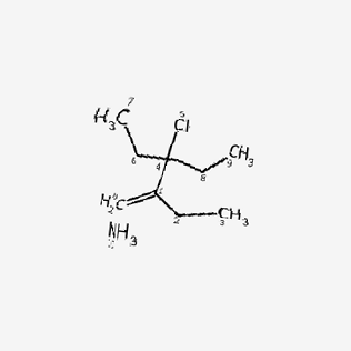 C=C(CC)C(Cl)(CC)CC.N